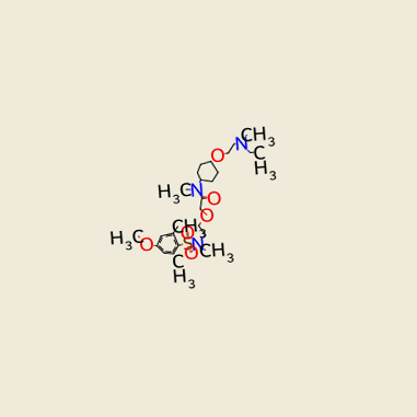 CCN(C)CCO[C@H]1CC[C@@H](N(C)C(=O)COCCN(C)S(=O)(=O)c2c(C)cc(OC)cc2C)CC1